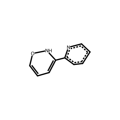 C1=CONC(c2ccccn2)=C1